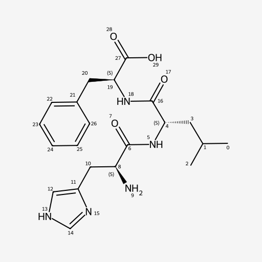 CC(C)C[C@H](NC(=O)[C@@H](N)Cc1c[nH]cn1)C(=O)N[C@@H](Cc1ccccc1)C(=O)O